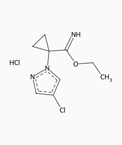 CCOC(=N)C1(n2cc(Cl)cn2)CC1.Cl